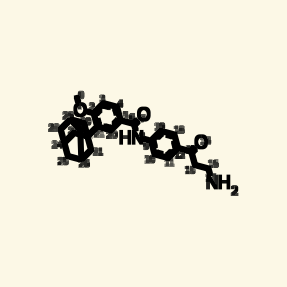 COc1ccc(C(=O)Nc2ccc(C(=O)CCN)cc2)cc1C12CC3CC(CC(C3)C1)C2